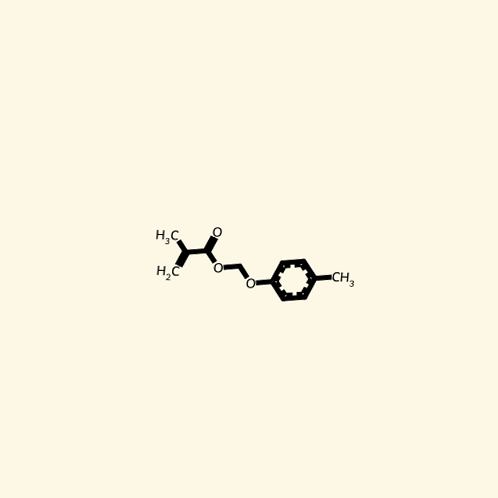 C=C(C)C(=O)OCOc1ccc(C)cc1